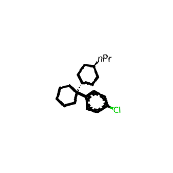 CCC[C@H]1CC[C@H](C2(c3ccc(Cl)cc3)CCCCC2)CC1